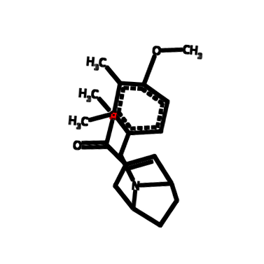 COC(=O)C1=CC2CCC(C1)N2Cc1ccc(OC)c(C)c1C